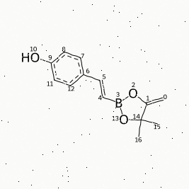 C=C1OB(/C=C/c2ccc(O)cc2)OC1(C)C